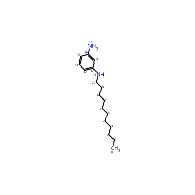 CCCCCCCCCCCNc1cccc(N)c1